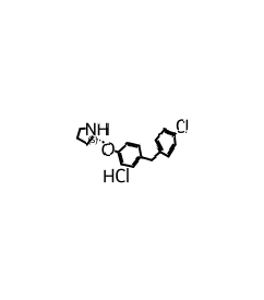 Cl.Clc1ccc(Cc2ccc(OC[C@@H]3CCCN3)cc2)cc1